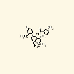 COc1cc(F)ccc1-c1ccc2c(c1COC(=O)c1cccc(N)c1)C(C)=CC(C)(C)N2